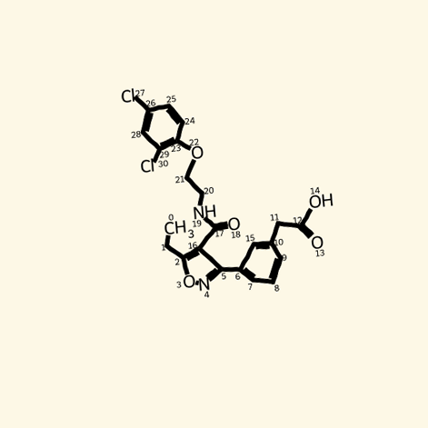 CCc1onc(-c2cccc(CC(=O)O)c2)c1C(=O)NCCOc1ccc(Cl)cc1Cl